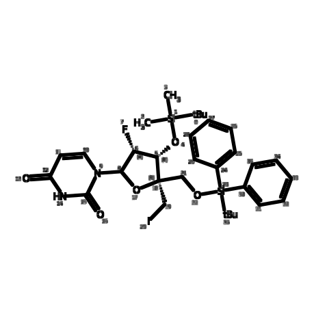 CC(C)(C)[Si](C)(C)O[C@H]1[C@@H](F)C(n2ccc(=O)[nH]c2=O)O[C@]1(CI)CO[Si](c1ccccc1)(c1ccccc1)C(C)(C)C